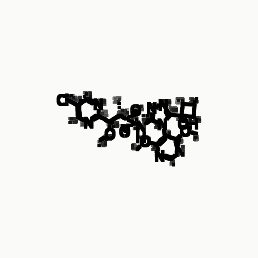 COc1ncnc(OC)c1-n1c(NS(=O)(=O)[C@@H](C)[C@H](OC)c2ncc(Cl)cn2)nnc1C1(O)CCC1